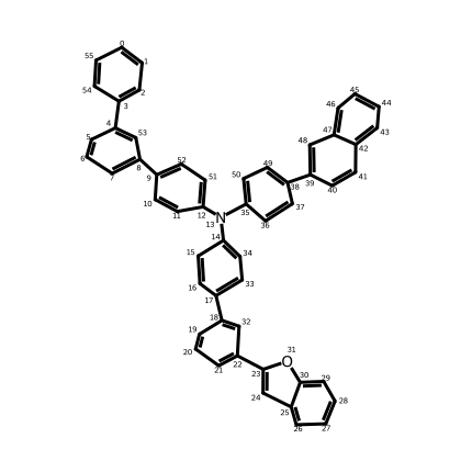 c1ccc(-c2cccc(-c3ccc(N(c4ccc(-c5cccc(-c6cc7ccccc7o6)c5)cc4)c4ccc(-c5ccc6ccccc6c5)cc4)cc3)c2)cc1